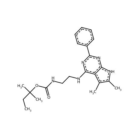 CCC(C)(C)OC(=O)NCCNc1nc(-c2ccccc2)nc2[nH]c(C)c(C)c12